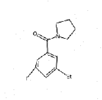 CCc1cc(I)cc(C(=O)N2CCCC2)c1